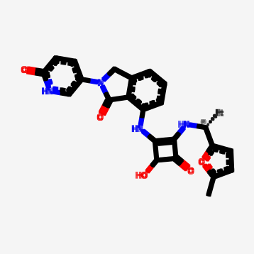 CC[C@@H](NC1=C(Nc2cccc3c2C(=O)N(c2ccc(=O)[nH]c2)C3)C(O)C1=O)c1ccc(C)o1